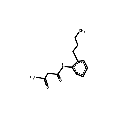 CCCCc1ccccc1NC(=O)CC(C)=O